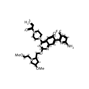 C=CC(=O)N1CCN(c2nc(OCC3CC(OC)CN3CCOC)nc3cc(-c4nc(N)ccc4C(F)(F)F)c(Cl)cc23)CC1